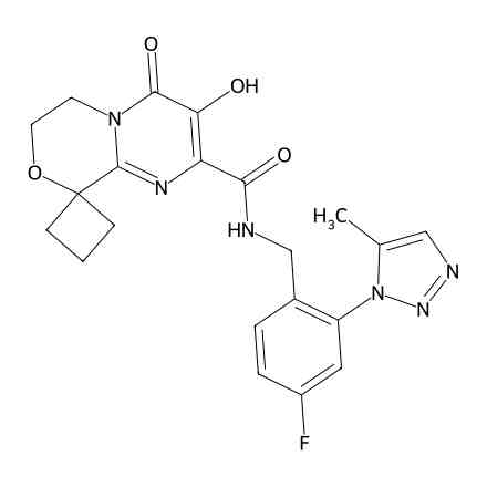 Cc1cnnn1-c1cc(F)ccc1CNC(=O)c1nc2n(c(=O)c1O)CCOC21CCC1